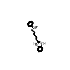 O=C(CCCCC[S+]([O-])c1ccccc1)Nc1ccccc1O